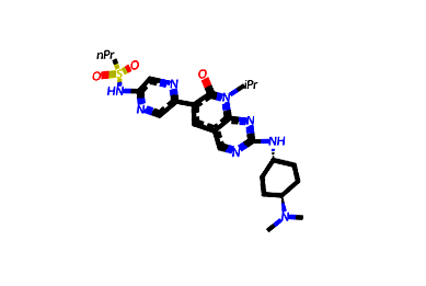 CCCS(=O)(=O)Nc1cnc(-c2cc3cnc(N[C@H]4CC[C@H](N(C)C)CC4)nc3n(C(C)C)c2=O)cn1